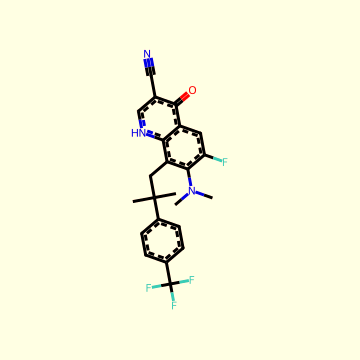 CN(C)c1c(F)cc2c(=O)c(C#N)c[nH]c2c1CC(C)(C)c1ccc(C(F)(F)F)cc1